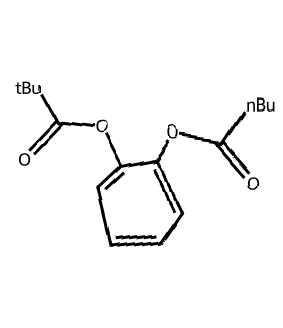 CCCCC(=O)Oc1ccccc1OC(=O)C(C)(C)C